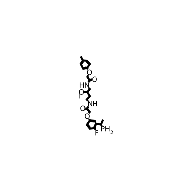 Cc1ccc(OCC(=O)NCC(CCNC(=O)COc2ccc(F)c(C(C)P)c2)OI)cc1